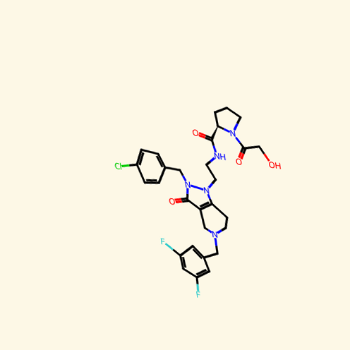 O=C(NCCn1c2c(c(=O)n1Cc1ccc(Cl)cc1)CN(Cc1cc(F)cc(F)c1)CC2)[C@H]1CCCN1C(=O)CO